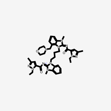 CCn1nc(C)cc1C(=O)N=c1n(C)c2cccc(CN3CCOCC3)c2n1CCCCn1/c(=N/C(=O)c2cc(C)nn2CC)n(C)c2ccccc21